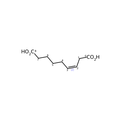 O=C(O)C/C=C\CCCCC(=O)O